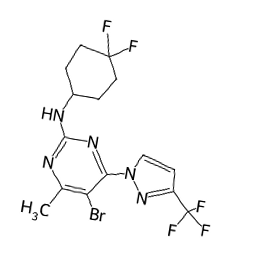 Cc1nc(NC2CCC(F)(F)CC2)nc(-n2ccc(C(F)(F)F)n2)c1Br